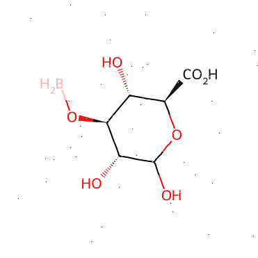 BO[C@H]1[C@H](O)[C@@H](C(=O)O)OC(O)[C@@H]1O